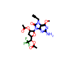 C#CCn1c(=O)n(C2OC([C@@H](OC(C)=O)C(F)(F)F)CC2OC(C)=O)c2nc(N)nc(OC)c21